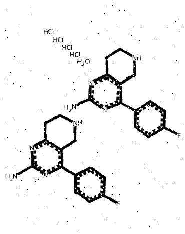 Cl.Cl.Cl.Cl.Nc1nc2c(c(-c3ccc(F)cc3)n1)CNCC2.Nc1nc2c(c(-c3ccc(F)cc3)n1)CNCC2.O